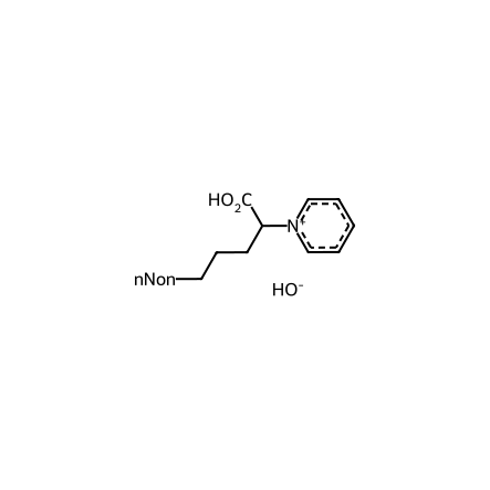 CCCCCCCCCCCCC(C(=O)O)[n+]1ccccc1.[OH-]